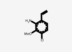 C=Cc1ccc(Cl)c(OC)c1N